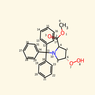 COC(=O)C1C[C@H](OO)CN1C(c1ccccc1)(c1ccccc1)c1ccccc1